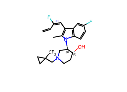 C=C/C(F)=C\c1c(C)n([C@@H]2CN(CC3(C(F)(F)F)CC3)CC[C@H]2O)c2ccc(F)cc12